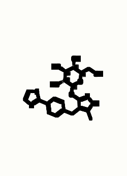 Cc1[nH]nc(O[C@@H]2O[C@H](CO)[C@@H](O)[C@H](O)[C@H]2O)c1Cc1ccc(-c2nccs2)cc1